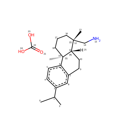 CC(C)c1ccc2c(c1)CC[C@H]1[C@@](C)(CN)CCC[C@]21C.O=C(O)O